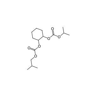 CC(C)COC(=O)OC1CCCCC1OC(=O)OC(C)C